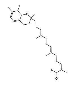 CC1=CC=C2CCC(C)(CC/C=C(\C)CC/C=C(\C)CCCC(C)C(=O)I)OC2C1C